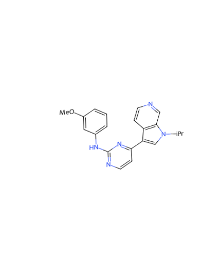 COc1cccc(Nc2nccc(-c3cn(C(C)C)c4cnccc34)n2)c1